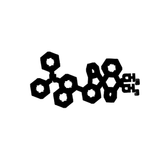 CC1(C)c2ccccc2C2(c3ccccc3-c3c(-c4ccc(N(c5ccccc5)c5ccccc5)c5ccccc45)cccc32)c2ccccc21